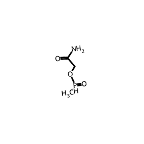 C[PH](=O)OCC(N)=O